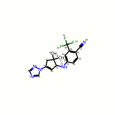 CC1(C)CC(n2cncn2)=CC1Nc1ccc(C#N)c(C(F)(F)F)c1